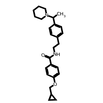 CC(c1ccc(CCNC(=O)c2ccc(OCC3CC3)cc2)cc1)N1CCCCC1